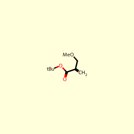 C=C(COC)C(=O)OC(C)(C)C